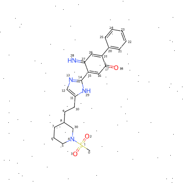 CS(=O)(=O)N1CCCC(CCc2cnc(C3=CC(=O)C(c4ccccc4)=CC3=N)[nH]2)C1